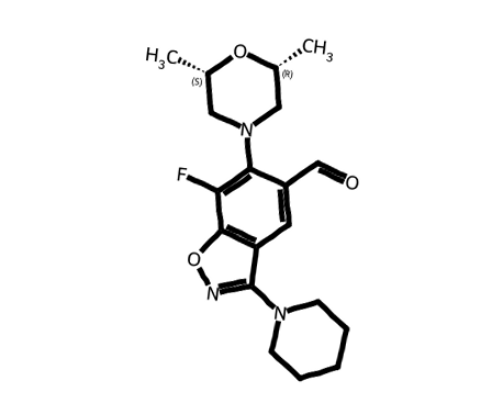 C[C@@H]1CN(c2c(C=O)cc3c(N4CCCCC4)noc3c2F)C[C@H](C)O1